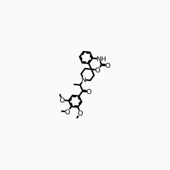 COc1cc(C(=O)C(C)N2CCC3(CC2)OC(=O)Nc2ccccc23)cc(OC)c1OC